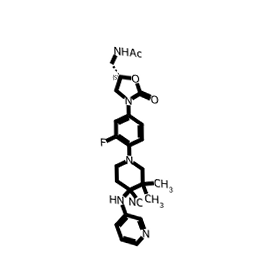 [C-]#[N+]C1(Nc2cccnc2)CCN(c2ccc(N3C[C@H](CNC(C)=O)OC3=O)cc2F)CC1(C)C